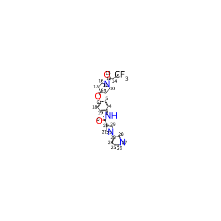 O=C(Nc1ccc(OC2CCN(C(=O)CC(F)(F)F)CC2)cc1)C1CN(c2cccnc2)C1